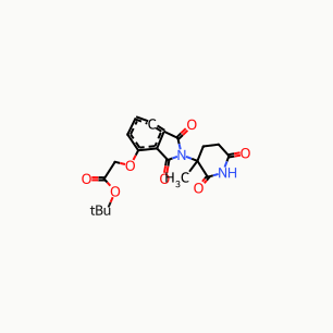 CC(C)(C)OC(=O)COc1cccc2c1C(=O)N(C1(C)CCC(=O)NC1=O)C2=O